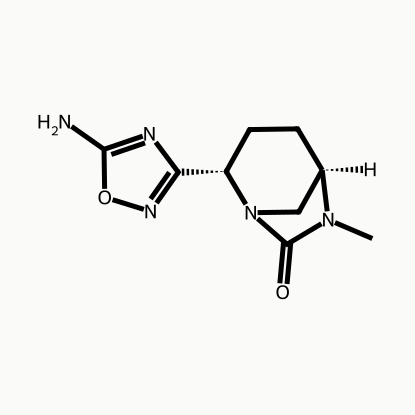 CN1C(=O)N2C[C@H]1CC[C@H]2c1noc(N)n1